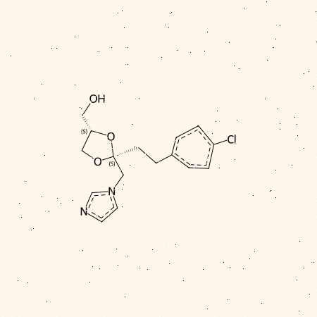 OC[C@H]1CO[C@](CCc2ccc(Cl)cc2)(Cn2ccnc2)O1